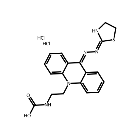 Cl.Cl.O=C(O)NCCn1c2ccccc2c(=NN=C2NCCS2)c2ccccc21